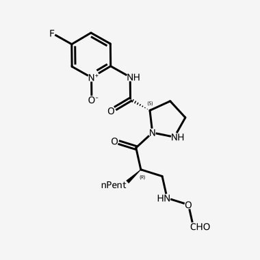 CCCCC[C@H](CNOC=O)C(=O)N1NCC[C@H]1C(=O)Nc1ccc(F)c[n+]1[O-]